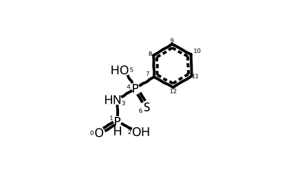 O=[PH](O)NP(O)(=S)c1ccccc1